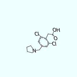 O=C(O)Cc1c(Cl)cc(CN2CCCC2)cc1Cl